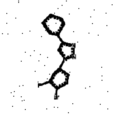 Fc1cc(-n2cc(-c3ccccc3)nn2)ccc1Br